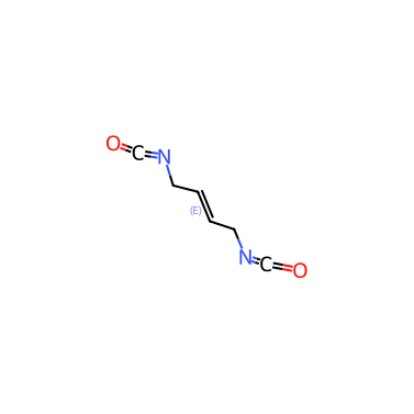 O=C=NC/C=C/CN=C=O